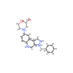 BrC1CN(c2ccc3ncc4c(cnn4Cc4ccccc4)c3c2)CCO1